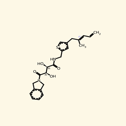 C=C/C=C(\C)Cc1csc(CNC(=O)[C@H](O)[C@@H](O)C(=O)N2Cc3ccccc3C2)c1